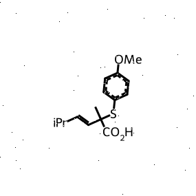 COc1ccc(SC(C)(C=CC(C)C)C(=O)O)cc1